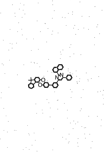 CC1(C)c2ccccc2-c2c1ccc1c2Oc2ccc(-c3cccc(-c4cc(-c5ccccc5)nc(-c5cccc6ccccc56)n4)c3)cc2O1